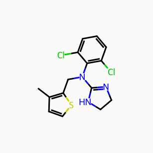 Cc1ccsc1CN(C1=NCCN1)c1c(Cl)cccc1Cl